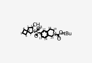 CC1CC2(CCC2)CN1S(=O)(=O)c1ccc2c(c1)CCN(C(=O)OC(C)(C)C)C2